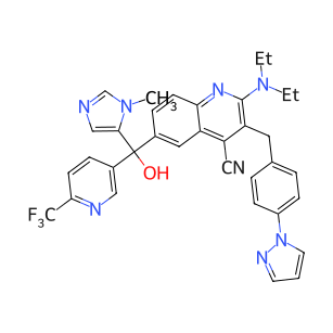 CCN(CC)c1nc2ccc(C(O)(c3ccc(C(F)(F)F)nc3)c3cncn3C)cc2c(C#N)c1Cc1ccc(-n2cccn2)cc1